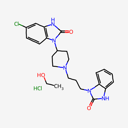 CCO.Cl.O=c1[nH]c2ccccc2n1CCCN1CCC(n2c(=O)[nH]c3cc(Cl)ccc32)CC1